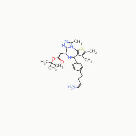 Cc1sc2c(c1C)C(c1ccc(CC/C=C\N)cc1)=N[C@@H](CC(=O)OC(C)(C)C)c1nnc(C)n1-2